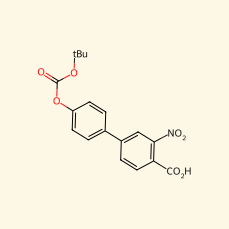 CC(C)(C)OC(=O)Oc1ccc(-c2ccc(C(=O)O)c([N+](=O)[O-])c2)cc1